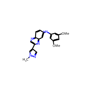 COc1cc(Nc2ccc3ncc(-c4cnn(C)c4)nc3c2)cc(OC)c1